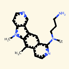 CCN(CCCN)c1nccc2c(C)c3c(cc12)c1cnccc1n3C